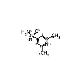 Cc1cc(S(N)(=O)=O)cc(C)n1